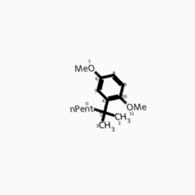 CCCCCC(C)(C)c1cc(OC)ccc1OC